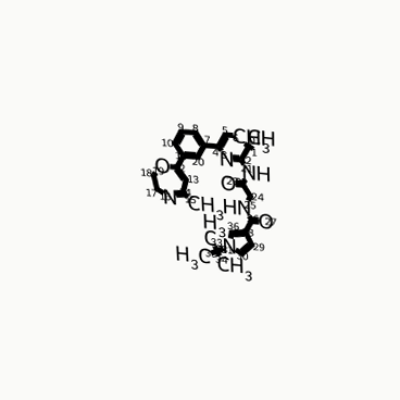 C#C/C(=N\C(=C/C)c1cccc(C2=CC(C)=NCCO2)c1)NC(=O)CNC(=O)c1ccn(C(C)(C)C)c1